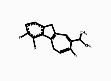 CC(C)C1=CC2=C(CC=C1F)c1c(ccc(F)c1F)C2